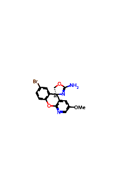 COc1cnc2c(c1)[C@@]1(COC(N)=N1)c1cc(Br)ccc1O2